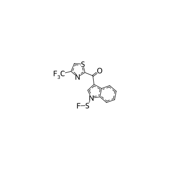 O=C(c1nc(C(F)(F)F)cs1)c1cn(SF)c2ccccc12